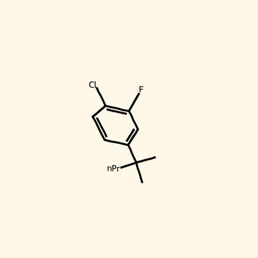 CCCC(C)(C)c1ccc(Cl)c(F)c1